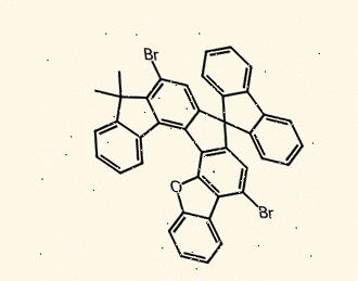 CC1(C)c2ccccc2-c2c3c(cc(Br)c21)C1(c2ccccc2-c2ccccc21)c1cc(Br)c2c(oc4ccccc42)c1-3